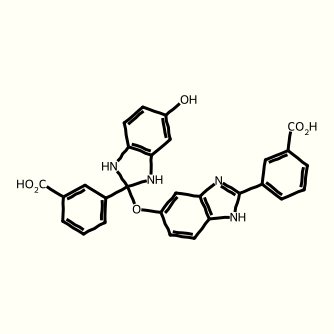 O=C(O)c1cccc(-c2nc3cc(OC4(c5cccc(C(=O)O)c5)Nc5ccc(O)cc5N4)ccc3[nH]2)c1